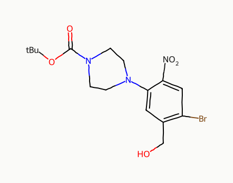 CC(C)(C)OC(=O)N1CCN(c2cc(CO)c(Br)cc2[N+](=O)[O-])CC1